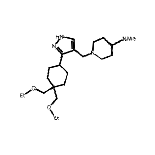 CCOCC1(COCC)CCC(c2n[nH]cc2CN2CCC(NC)CC2)CC1